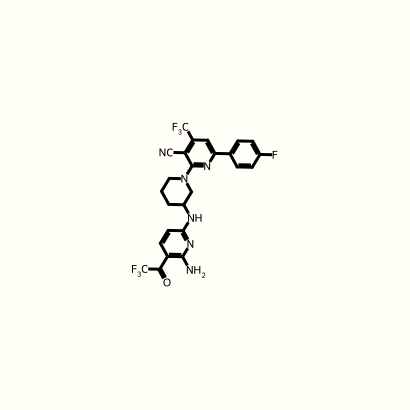 N#Cc1c(C(F)(F)F)cc(-c2ccc(F)cc2)nc1N1CCCC(Nc2ccc(C(=O)C(F)(F)F)c(N)n2)C1